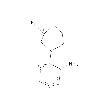 Nc1cnccc1N1CCC[C@@H](F)C1